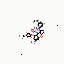 N#Cc1ccc(C2C3=C(CCC3=O)N(c3cccc(C(F)(F)F)c3)C(=O)N2C(=O)OC2=CC=C([N+](=O)[O-])CC2)cc1